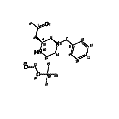 CC(=O)C[C@H]1CN(Cc2ccccc2)CCN1.CC(C)(C)OC=O